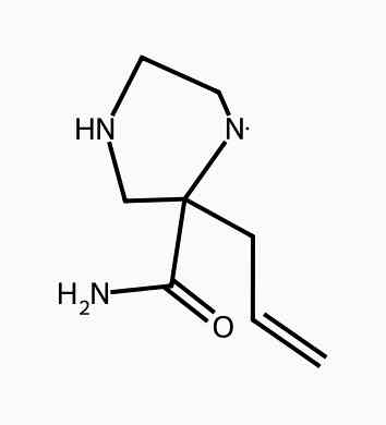 C=CCC1(C(N)=O)CNCC[N]1